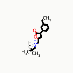 CCC1=CC=CC(C2C=C(CNCC(C)(C)C)OC2=O)C1